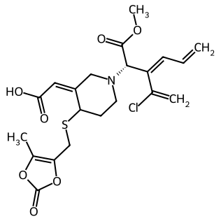 C=C/C=C(\C(=C)Cl)[C@@H](C(=O)OC)N1CCC(SCc2oc(=O)oc2C)/C(=C\C(=O)O)C1